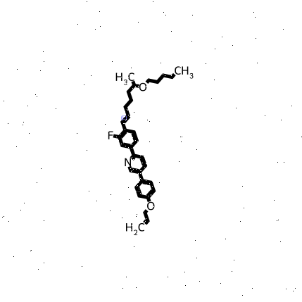 C=CCOc1ccc(-c2ccc(-c3ccc(/C=C/CCCC(C)OCCCCC)c(F)c3)nc2)cc1